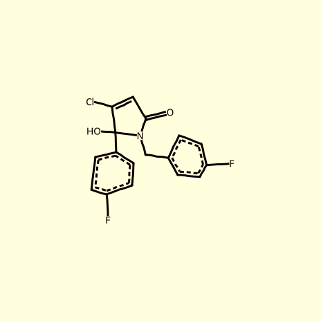 O=C1C=C(Cl)C(O)(c2ccc(F)cc2)N1Cc1ccc(F)cc1